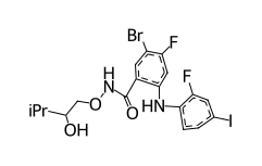 CC(C)C(O)CONC(=O)c1cc(Br)c(F)cc1Nc1ccc(I)cc1F